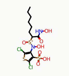 CCCCCCC(C(=O)NO)[S+]([O-])N(O)c1c(Cl)sc(Cl)c1S(=O)(=O)O